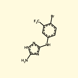 Nc1nc(Nc2ccc(Br)c(C(F)(F)F)c2)n[nH]1